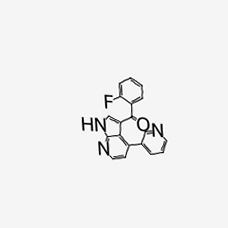 O=C(c1ccccc1F)c1c[nH]c2nccc(-c3cccnc3)c12